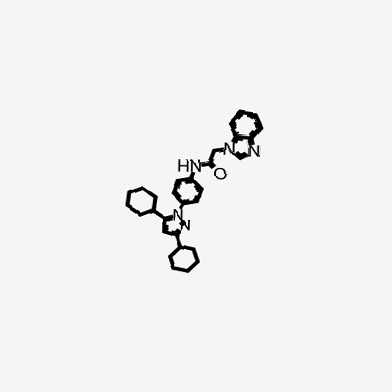 O=C(Cn1cnc2ccccc21)Nc1ccc(-n2nc(C3CCCCC3)cc2C2CCCCC2)cc1